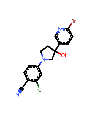 N#Cc1ccc(N2CCC(O)(c3ccc(Br)nc3)C2)cc1Cl